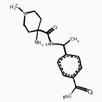 COC(=O)c1ccc(C(C)NC(=O)C2(N)CCN(C)CC2)cc1